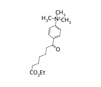 CCOC(=O)CCCCCC(=O)c1ccc([N+](C)(C)C)cc1